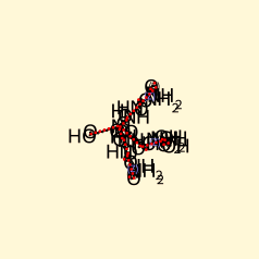 C[C@@H]1CC[C@@H](N(N)/C=C(\N)COc2cccc(C(=O)NCCCCNC(=O)CCOCC(COCCC(=O)NCCCCNC(=O)c3cccc(OC/C(N)=C/N(N)C4CO[C@H](CO)[C@H](O)[C@@H]4O)c3)(COCCC(=O)NCCCCNC(=O)c3cccc(OC/C(N)=C/N(N)[C@@H]4CCCOC4)c3)NC(=O)CCCCCCCCCCC(=O)O)c2)CO1